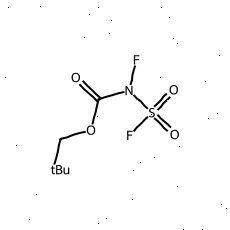 CC(C)(C)COC(=O)N(F)S(=O)(=O)F